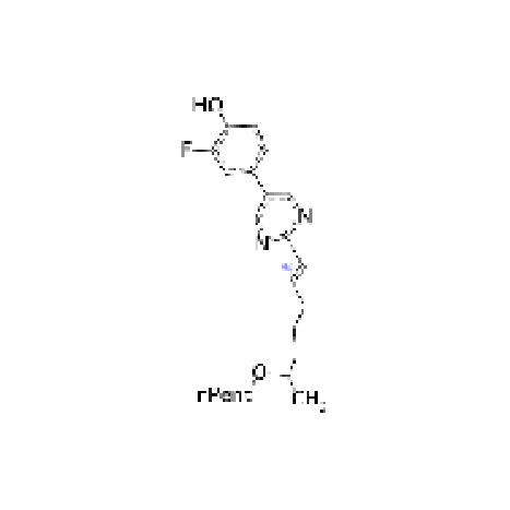 CCCCCOC(C)CCC/C=C/c1ncc(-c2ccc(O)c(F)c2)cn1